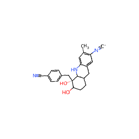 [C-]#[N+]c1cc2c(cc1C)NC1C(CCC(O)[C@@]1(O)Cc1ccc(C#N)cc1)C2